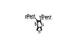 CCCCCc1nc2cscc2nc1CCCCC